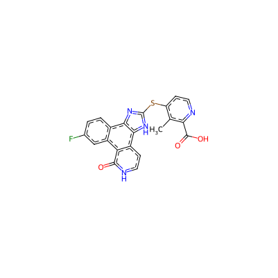 Cc1c(Sc2nc3c4ccc(F)cc4c4c(=O)[nH]ccc4c3[nH]2)ccnc1C(=O)O